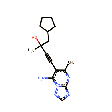 Cc1nc2ncnn2c(N)c1C#CC(C)(O)CC1CCCC1